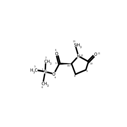 C[Si](C)(C)OC(=O)[C@@H]1CCC(=O)N1[SiH3]